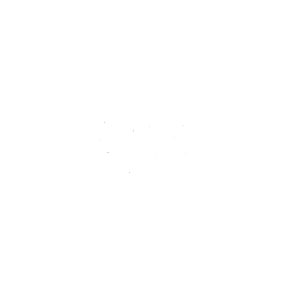 O=C(O)C1=C(Cc2cccc(C(F)(F)F)c2)CCC1